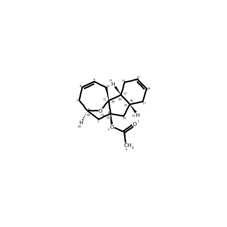 CC(=O)O[C@@]12C[C@H]3CC=CC[C@@]1(O3)[C@@H]1CC=CC[C@@H]1C2